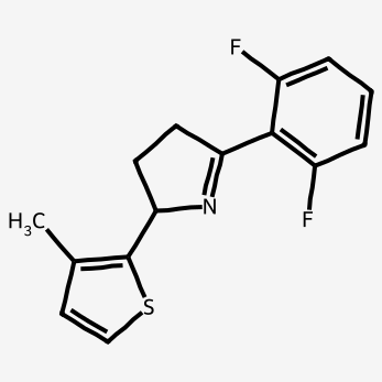 Cc1ccsc1C1CCC(c2c(F)cccc2F)=N1